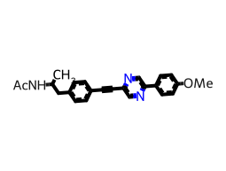 COc1ccc(-c2cnc(C#Cc3ccc(CC(C)NC(C)=O)cc3)cn2)cc1